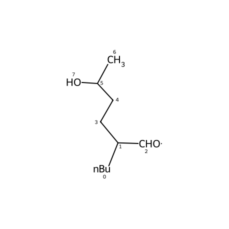 CCCCC([C]=O)CCC(C)O